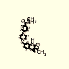 CCC12CC1c1ccc(CN3CCN(c4ccc(C(=O)NC)nc4)CC3)cc1NC2=O